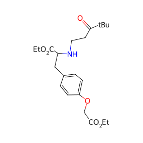 CCOC(=O)COc1ccc(CC(NCCC(=O)C(C)(C)C)C(=O)OCC)cc1